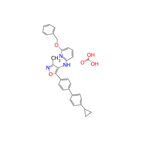 Cc1noc(-c2ccc(-c3ccc(C4CC4)cc3)cc2)c1Nc1cccc(OCc2ccccc2)n1.O=C(O)O